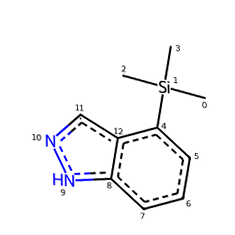 C[Si](C)(C)c1cccc2[nH]n[c]c12